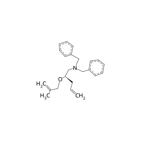 C=CC[C@H](CN(Cc1ccccc1)Cc1ccccc1)OCC(=C)C